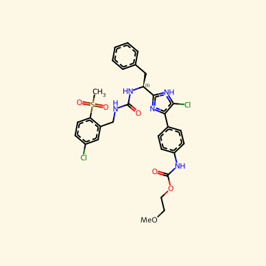 COCCOC(=O)Nc1ccc(-c2nc([C@H](Cc3ccccc3)NC(=O)NCc3cc(Cl)ccc3S(C)(=O)=O)[nH]c2Cl)cc1